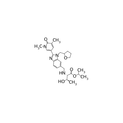 Cc1cc(-c2nc3ccc(CN[C@H](C(=O)OC(C)C)[C@@H](C)O)cc3n2CC2CCCO2)cn(C)c1=O